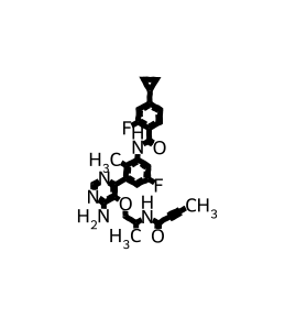 CC#CC(=O)NC(C)COc1c(N)ncnc1-c1cc(F)cc(NC(=O)c2ccc(C3CC3)cc2F)c1C